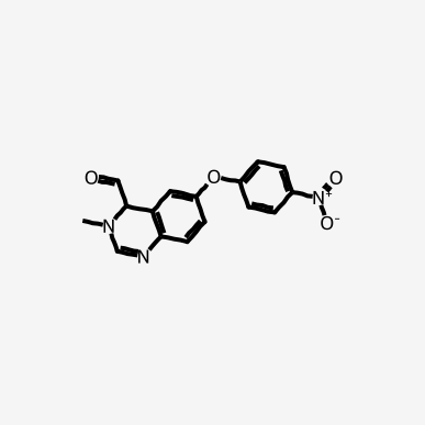 CN1C=Nc2ccc(Oc3ccc([N+](=O)[O-])cc3)cc2C1C=O